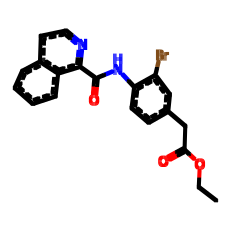 CCOC(=O)Cc1ccc(NC(=O)c2nccc3ccccc23)c(Br)c1